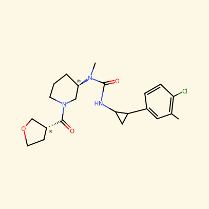 Cc1cc(C2CC2NC(=O)N(C)[C@@H]2CCCN(C(=O)[C@@H]3CCOC3)C2)ccc1Cl